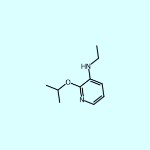 CCNc1cccnc1OC(C)C